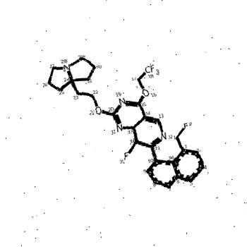 FCc1cccc2cccc(C3=NC=C4C(OCC(F)(F)F)=NC(OCCC56CCCN5CCC6)=NC4C3F)c12